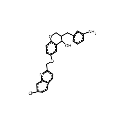 Nc1cccc(CC2COc3ccc(OCc4ccc5ccc(Cl)cc5n4)cc3C2O)c1